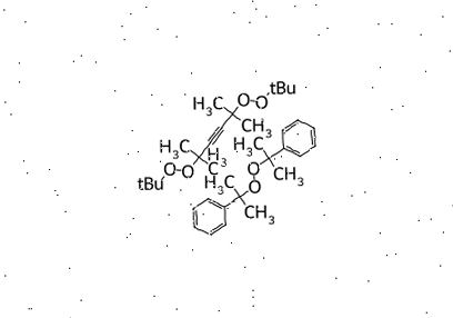 CC(C)(C)OOC(C)(C)C#CC(C)(C)OOC(C)(C)C.CC(C)(OOC(C)(C)c1ccccc1)c1ccccc1